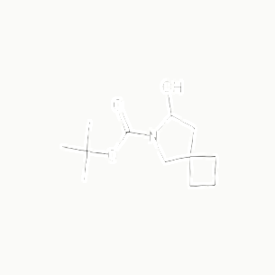 CC(C)(C)OC(=O)N1CC2(CCC2)CC1O